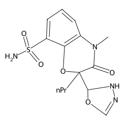 CCCC1(C2NN=CO2)Oc2c(cccc2S(N)(=O)=O)N(C)C1=O